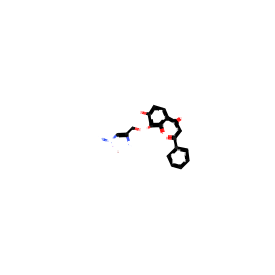 N/C(=C\N(N)Br)COc1c(O)ccc2c(=O)cc(-c3ccccc3)oc12